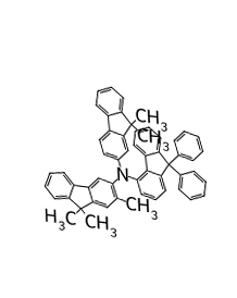 Cc1cc2c(cc1N(c1ccc3c(c1)C(C)(C)c1ccccc1-3)c1cccc3c1-c1ccccc1C3(c1ccccc1)c1ccccc1)-c1ccccc1C2(C)C